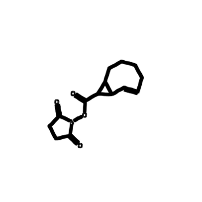 O=C(ON1C(=O)CCC1=O)C1C2/C=C/CCCCC21